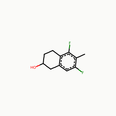 Cc1c(F)cc2c(c1F)CCC(O)C2